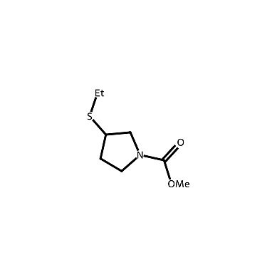 CCSC1CCN(C(=O)OC)C1